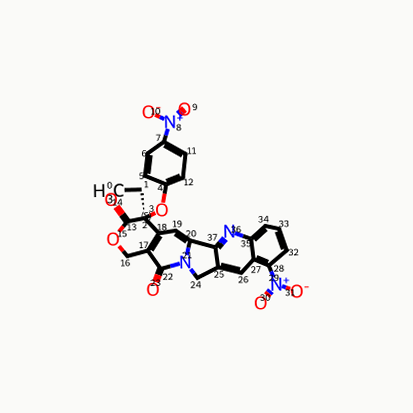 CC[C@@]1(Oc2ccc([N+](=O)[O-])cc2)C(=O)OCc2c1cc1n(c2=O)Cc2cc3c([N+](=O)[O-])cccc3nc2-1